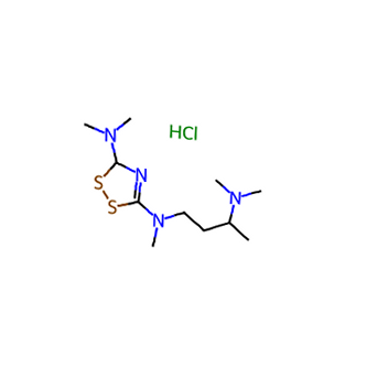 CC(CCN(C)C1=NC(N(C)C)SS1)N(C)C.Cl